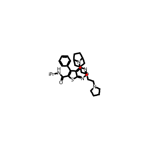 CC(C)NC(=O)c1sc2ncnc(N3C4CCC3CC(COCCN3CCCC3)C4)c2c1-c1ccccc1